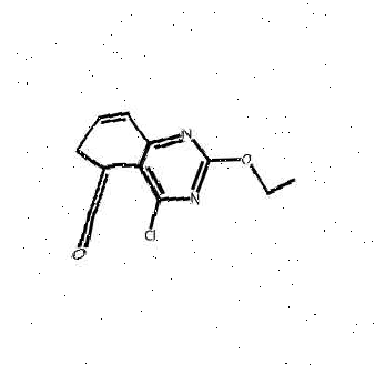 CCOc1nc(Cl)c2c(n1)C=CCC2=C=O